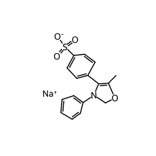 CC1=C(c2ccc(S(=O)(=O)[O-])cc2)N(c2ccccc2)CO1.[Na+]